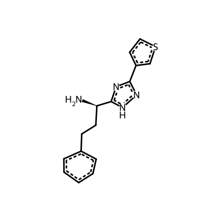 N[C@H](CCc1ccccc1)c1nc(-c2ccsc2)n[nH]1